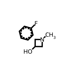 CN1CC(O)C1.Fc1ccccc1